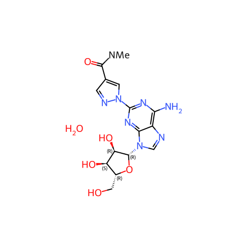 CNC(=O)c1cnn(-c2nc(N)c3ncn([C@@H]4O[C@H](CO)[C@@H](O)[C@H]4O)c3n2)c1.O